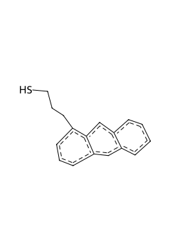 SCCCc1cccc2cc3ccccc3cc12